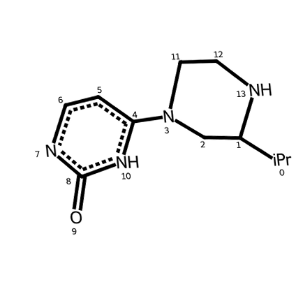 CC(C)C1CN(c2ccnc(=O)[nH]2)CCN1